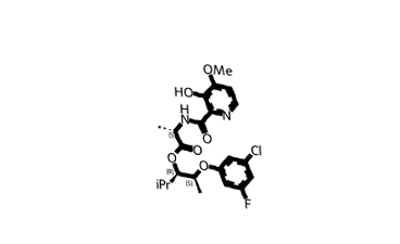 COc1ccnc(C(=O)N[C@@H](C)C(=O)O[C@H](C(C)C)[C@H](C)Oc2cc(F)cc(Cl)c2)c1O